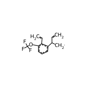 [CH2]C(C=C)c1cccc(OC(F)(F)F)c1C=C